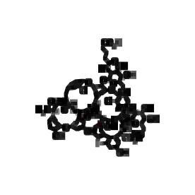 CC(=O)N[C@H]1C(O)[C@H](O)C(CO)O[C@H]1O[C@@H]1c2ccc(c(Cl)c2)Oc2cc3cc(c2O[C@@H]2OC(CO)[C@@H](O)[C@H](O)C2NC(=O)CCCC(=O)O)Oc2ccc(cc2Cl)C[C@H]2NC(=O)[C@H](N)c4ccc(O)c(c4)Oc4cc(O)cc(c4)[C@H](NC2=O)C(=O)N[C@H]3C(=O)N[C@H]2C(=O)N[C@@H]1C(=O)N[C@H](C(=O)O)c1cc(O)cc(C)c1-c1cc2ccc1I